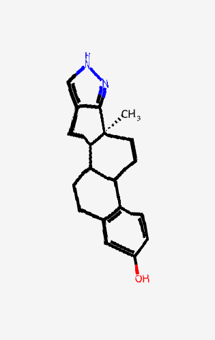 C[C@]12CCC3c4ccc(O)cc4CCC3C1Cc1c[nH]nc12